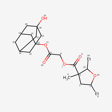 CCC1CC(C)(C(=O)OCC(=O)OC23CC4CC(CC(O)(C4)C2)C3)C(CC)O1